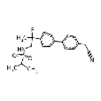 CC(C)S(=O)(=O)NCC(C)(F)c1ccc(-c2ccc(CC#N)cc2)cc1